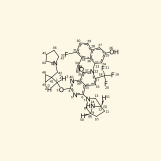 [2H]C([2H])(Oc1nc(N2C[C@H]3CC[C@@H](C2)N3)c2cc(C(F)(F)F)n(-c3cc(O)cc4ccc(F)c(C#C)c34)c(=O)c2n1)C1(CN2CCCC2)CC1